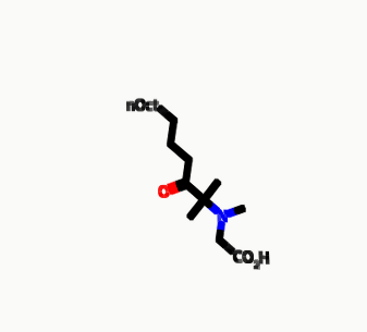 CCCCCCCCCCCC(=O)C(C)(C)N(C)CC(=O)O